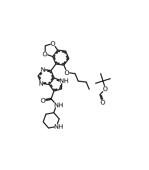 CC(C)(C)OC=O.CCCCOc1ccc2c(c1-c1ncnc3c(C(=O)NC4CCCNC4)c[nH]c13)OCO2